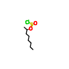 CCCCCCC(C)OS(=O)Cl